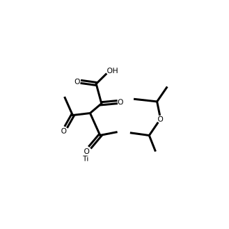 CC(=O)C(C(C)=O)C(=O)C(=O)O.CC(C)OC(C)C.[Ti]